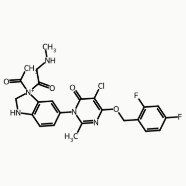 CNCC(=O)[N+]1(C(C)=O)CNc2ccc(-n3c(C)nc(OCc4ccc(F)cc4F)c(Cl)c3=O)cc21